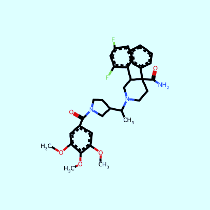 COc1cc(C(=O)N2CCC(C(C)N3CCC(C(N)=O)(c4ccccc4)C(c4ccc(F)cc4F)C3)C2)cc(OC)c1OC